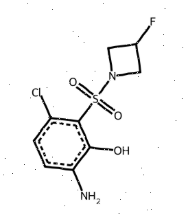 Nc1ccc(Cl)c(S(=O)(=O)N2CC(F)C2)c1O